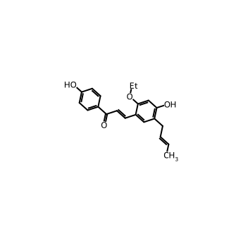 CC=CCc1cc(C=CC(=O)c2ccc(O)cc2)c(OCC)cc1O